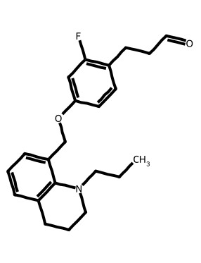 CCCN1CCCc2cccc(COc3ccc(CCC=O)c(F)c3)c21